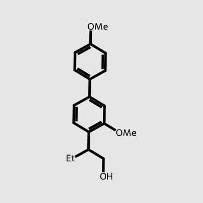 CCC(CO)c1ccc(-c2ccc(OC)cc2)cc1OC